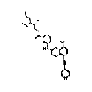 C=C(/C=C(\C=C/C)Nc1cc2c(C(C)C)ccc(C#Cc3ccncc3)c2cn1)C(=C)CC[C@@H](F)C(CCC)SC